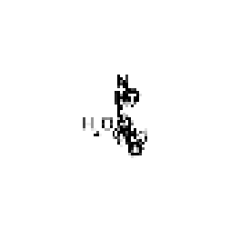 COc1ccccc1C(=O)NC1CCN(CCCN(C)c2ncccc2C#N)CC1OC.O